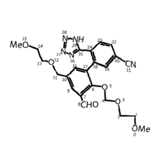 COCCOCOc1c(C=O)cc(COCCOC)cc1-c1cc(C#N)ccc1-c1nnn[nH]1